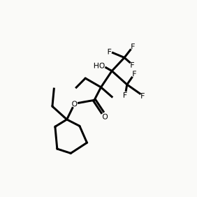 CCC1(OC(=O)C(C)(CC)C(O)(C(F)(F)F)C(F)(F)F)CCCCC1